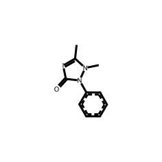 CC1=IC(=O)N(c2ccccc2)N1C